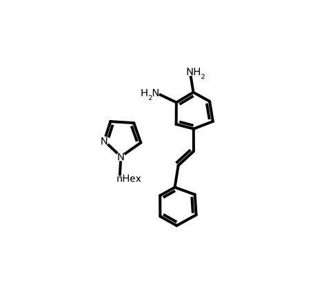 CCCCCCn1cccn1.Nc1ccc(C=Cc2ccccc2)cc1N